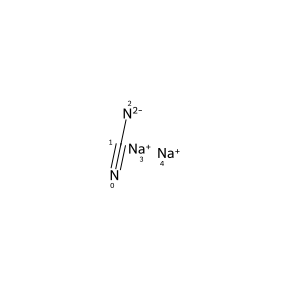 N#C[N-2].[Na+].[Na+]